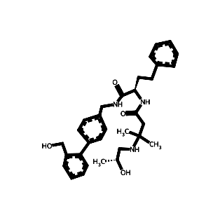 C[C@@H](O)CNC(C)(C)CC(=O)N[C@H](CCc1ccccc1)C(=O)NCc1ccc(-c2ccccc2CO)cc1